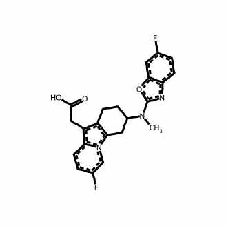 CN(c1nc2ccc(F)cc2o1)C1CCc2c(CC(=O)O)c3ccc(F)cn3c2C1